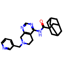 O=C(Nc1ncnc2c1CCN(Cc1cccnc1)C2)C12CC3CC(CC(C3)C1)C2